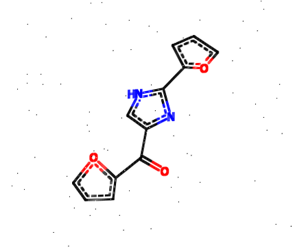 O=C(c1c[nH]c(-c2ccco2)n1)c1ccco1